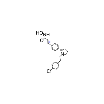 O=C(/C=C/c1ccc([C@@H]2CCCN2CCc2ccc(Cl)cc2)cc1)NO